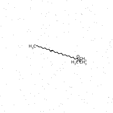 CCCCCCCCC=CCCCCCCCCCCCC(=O)[N+](C)(C)C